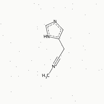 C[N+]#CCc1cnc[nH]1